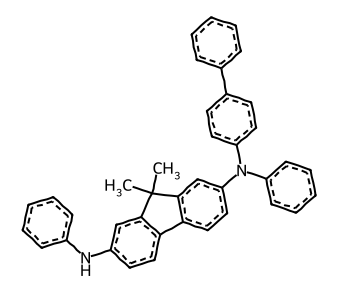 CC1(C)c2cc(Nc3ccccc3)ccc2-c2ccc(N(c3ccccc3)c3ccc(-c4ccccc4)cc3)cc21